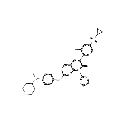 Cc1cc(S(=O)(=O)C2CC2)cnc1-c1cc2cnc(Nc3ccc(N(C)C4CCNCC4)cc3)nc2n(-c2nccs2)c1=O